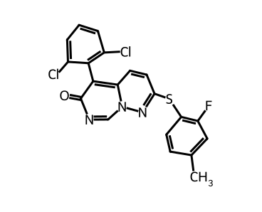 Cc1ccc(Sc2ccc3c(-c4c(Cl)cccc4Cl)c(=O)ncn3n2)c(F)c1